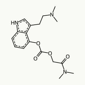 CN(C)CCc1c[nH]c2cccc(OC(=O)OCC(=O)N(C)C)c12